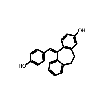 Oc1ccc(/C=C2\c3ccccc3CCc3cc(O)ccc32)cc1